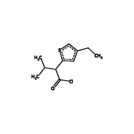 CCc1csc(C(C(=O)Cl)C(C)C)c1